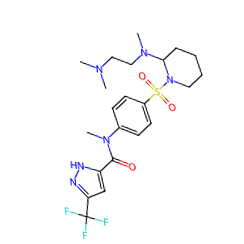 CN(C)CCN(C)C1CCCCN1S(=O)(=O)c1ccc(N(C)C(=O)c2cc(C(F)(F)F)n[nH]2)cc1